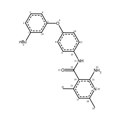 CCCCc1cccc(Oc2ccc(NC(=O)c3c(C)cc(C)nc3N)cc2)c1